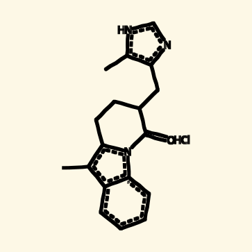 Cc1[nH]cnc1CC1CCc2c(C)c3ccccc3n2C1=O.Cl